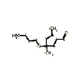 CCCCOC(C)(CCC)CCC=O